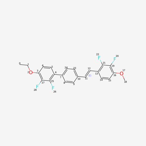 CCOc1ccc(-c2ccc(/C=C/c3ccc(OC)c(F)c3F)cc2)c(F)c1F